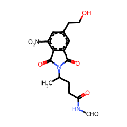 CC(CCC(=O)NC=O)N1C(=O)c2cc(CCO)cc([N+](=O)[O-])c2C1=O